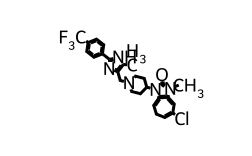 Cc1[nH]c(-c2ccc(C(F)(F)F)cc2)nc1CN1CCC(n2c3c(n(C)c2=O)=CC(Cl)=CCC=3)CC1